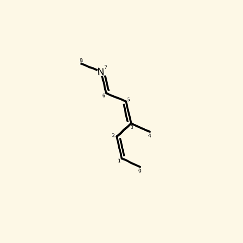 C\C=C/C(C)=C\C=N\C